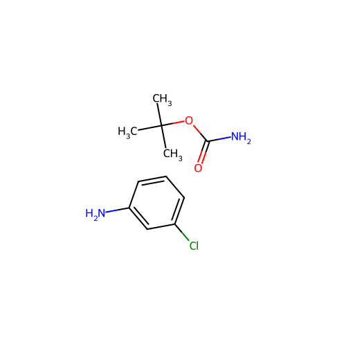 CC(C)(C)OC(N)=O.Nc1cccc(Cl)c1